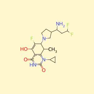 CC1c2c(c(=O)[nH]c(=O)n2C2CC2)C(O)=C(F)C1N1CCC(C(N)CC(F)F)C1